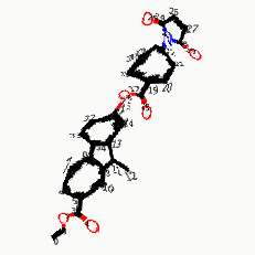 C=COC(=O)c1ccc2c(c1)C(C)c1cc(OC(=O)c3ccc(N4C(=O)C=CC4=O)cc3)ccc1-2